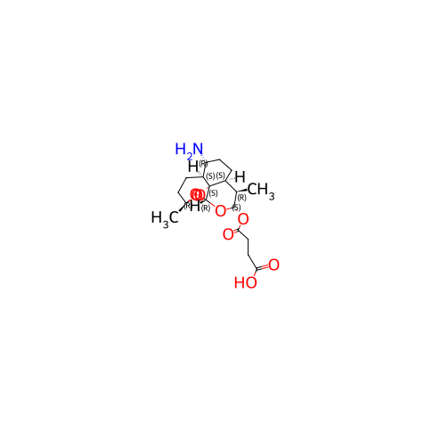 C[C@H]1[C@H](OC(=O)CCC(=O)O)O[C@@H]2O[C@@]3(C)CC[C@H]4[C@H](N)CC[C@@H]1[C@@]24OO3